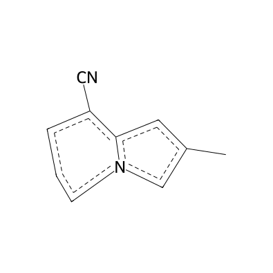 Cc1cc2c(C#N)cccn2c1